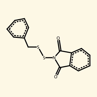 O=C1c2ccccc2C(=O)N1SSCc1ccccc1